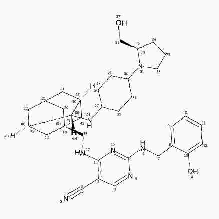 N#Cc1cnc(NCc2ccccc2O)nc1NC[C@]12CC3C[C@H](C1)[C@@H](NC1CCC(N4CCC[C@@H]4CO)CC1)[C@@H](C3)C2